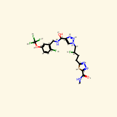 CNC(=O)c1nnc(CCC(F)Cn2cc(C(O)NCc3cc(OC(F)(F)F)ccc3F)nn2)s1